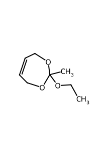 CCOC1(C)OCC=CCO1